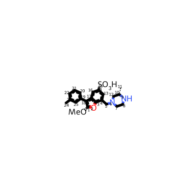 COc1oc2c(CN3CCN[C@@H](C)C3)cc(S(=O)(=O)O)cc2c1-c1cccc(C)c1